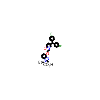 CCC(C(=O)O)n1c(C)nc2c(OCCn3cc(C(c4ccc(F)cc4)c4ccc(F)cc4)ccc3=O)cccc21